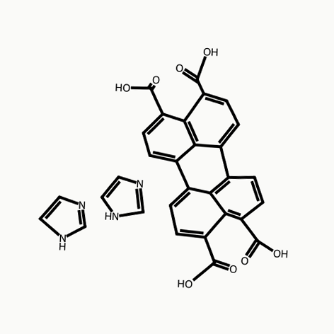 O=C(O)c1ccc2c3ccc(C(=O)O)c4c(C(=O)O)ccc(c5ccc(C(=O)O)c1c25)c43.c1c[nH]cn1.c1c[nH]cn1